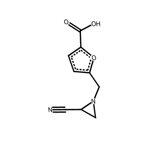 N#CC1CN1Cc1ccc(C(=O)O)o1